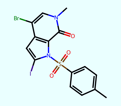 Cc1ccc(S(=O)(=O)n2c(I)cc3c(Br)cn(C)c(=O)c32)cc1